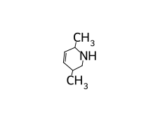 CC1C=CC(C)NC1